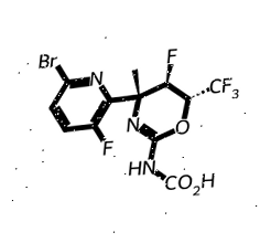 C[C@]1(c2nc(Br)ccc2F)N=C(NC(=O)O)O[C@@H](C(F)(F)F)[C@@H]1F